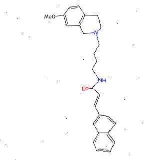 COc1ccc2c(c1)CN(CCCCNC(=O)C=Cc1ccc3ccccc3c1)CC2